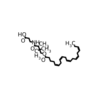 CC/C=C\C/C=C\C/C=C\C/C=C\C/C=C\CCCC(=O)OCC(C)(C)[C@H](C)C(=O)NCCC(=O)O